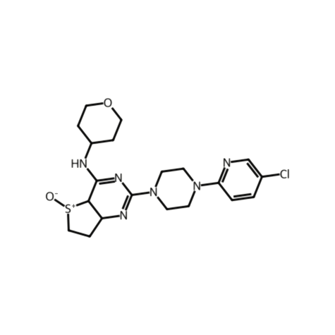 [O-][S+]1CCC2N=C(N3CCN(c4ccc(Cl)cn4)CC3)N=C(NC3CCOCC3)C21